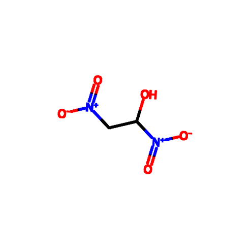 O=[N+]([O-])CC(O)[N+](=O)[O-]